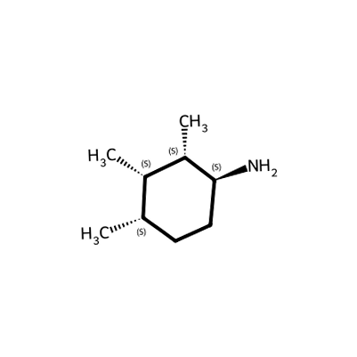 C[C@@H]1[C@H](C)[C@@H](N)CC[C@@H]1C